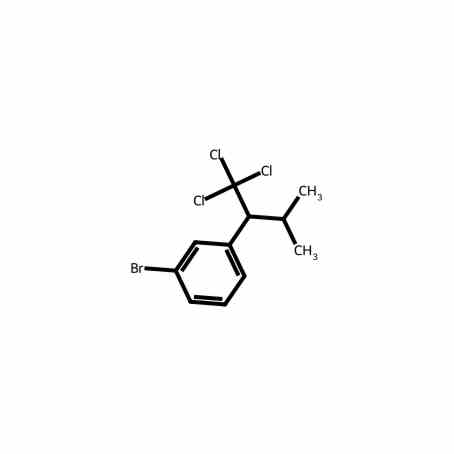 CC(C)C(c1cccc(Br)c1)C(Cl)(Cl)Cl